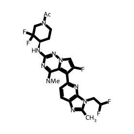 CNc1nc(N[C@@H]2CCN(C(C)=O)CC2(F)F)nn2cc(F)c(-c3ccc4nc(C)n(CC(F)F)c4n3)c12